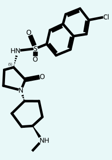 CN[C@H]1CC[C@H](N2CC[C@H](NS(=O)(=O)c3ccc4cc(Cl)ccc4c3)C2=O)CC1